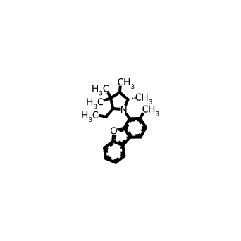 CCC1N(c2c(C)ccc3c2oc2ccccc23)[C@@H](C)C(C)C1(C)C